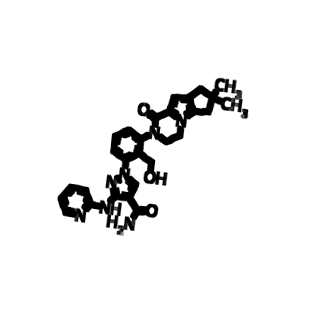 CC1(C)Cc2cc3n(c2C1)CCN(c1cccc(-n2cc(C(N)=O)c(Nc4ccccn4)n2)c1CO)C3=O